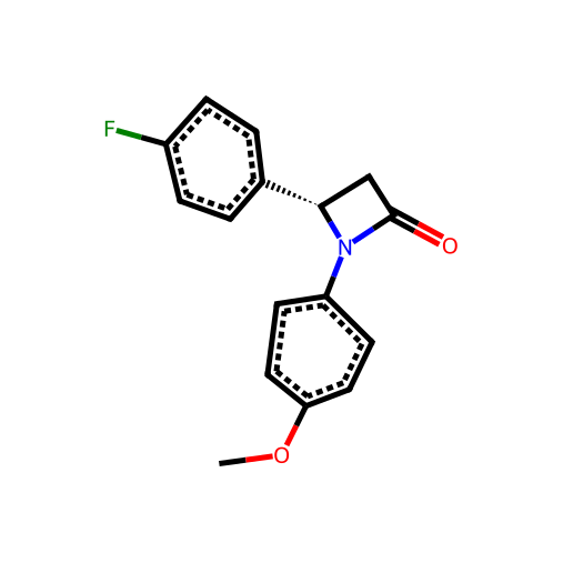 COc1ccc(N2C(=O)C[C@H]2c2ccc(F)cc2)cc1